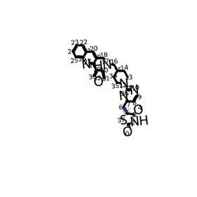 O=C1NC(=O)/C(=C\c2ccnc(N3CCC(CNCc4cc5ccccc5nc4-c4ccoc4)CC3)n2)S1